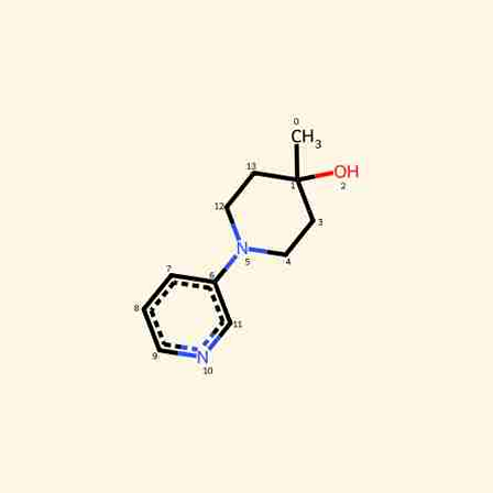 CC1(O)CCN(c2cccnc2)CC1